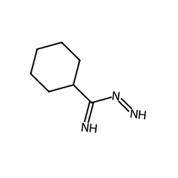 N=NC(=N)C1CCCCC1